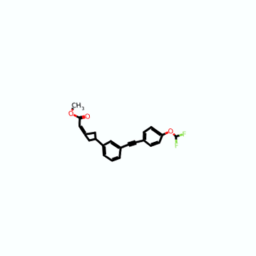 COC(=O)C=C1CC(c2cccc(C#Cc3ccc(OC(F)F)cc3)c2)C1